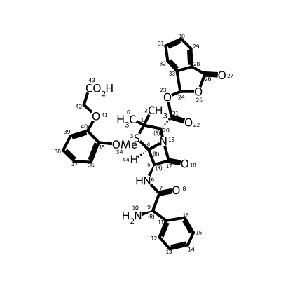 CC1(C)S[C@@H]2[C@H](NC(=O)[C@H](N)c3ccccc3)C(=O)N2[C@H]1C(=O)OC1OC(=O)c2ccccc21.COc1ccccc1OCC(=O)O